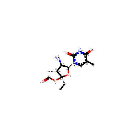 CC[C@@]1(OC=O)O[C@@H](n2cc(C)c(=O)[nH]c2=O)C(N)[C@H]1C